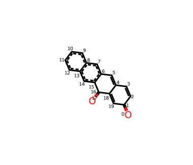 O=C1C=CC2=Cc3cc4ccccc4cc3C(=O)C2=C1